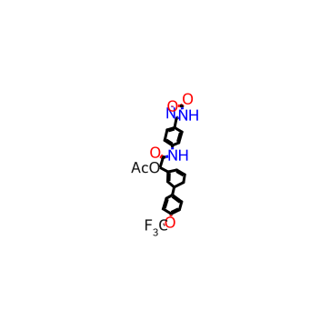 CC(=O)OC(C(=O)Nc1ccc(-c2noc(=O)[nH]2)cc1)C1=CC(c2ccc(OC(F)(F)F)cc2)CC=C1